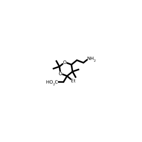 CCC1(CC(=O)O)OC(C)(C)OC(CCN)C1(C)C